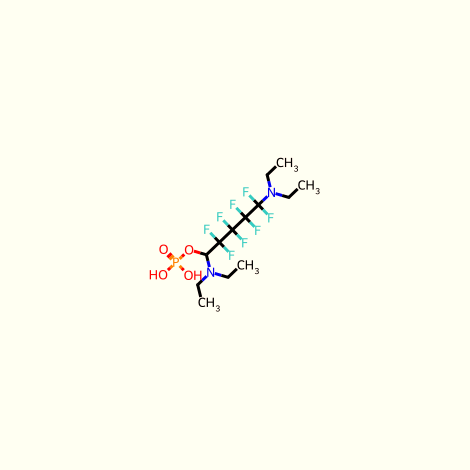 CCN(CC)C(OP(=O)(O)O)C(F)(F)C(F)(F)C(F)(F)C(F)(F)N(CC)CC